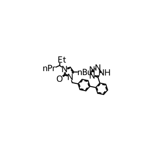 CCCCc1cn(C(CC)CCC)c(=O)n1Cc1ccc(-c2ccccc2-c2nnn[nH]2)cc1